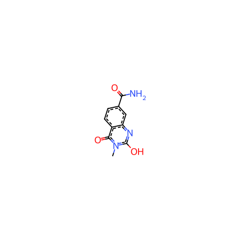 Cn1c(O)nc2cc(C(N)=O)ccc2c1=O